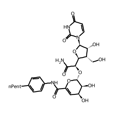 CCCCCc1ccc(NC(=O)C2=C[C@H](O)[C@H](O)[C@@H](O[C@@H](C(N)=O)[C@H]3O[C@@H](n4ccc(=O)[nH]c4=O)[C@H](O)[C@@H]3CO)O2)cc1